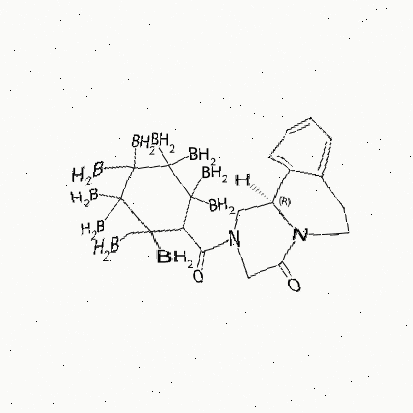 BC1(B)C(C(=O)N2CC(=O)N3CCc4ccccc4[C@@H]3C2)C(B)(B)C(B)(B)C(B)(B)C1(B)B